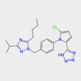 CCCCc1nc(C(C)C)nn1Cc1ccc(-n2c(Cl)ccc2-c2nnn[nH]2)cc1